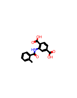 Cc1ccccc1C(=O)Nc1cc(C(=O)O)ccc1C(=O)O